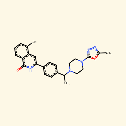 Cc1nnc(N2CCN(C(C)c3ccc(-c4cc5c(C#N)cccc5c(=O)[nH]4)cc3)CC2)o1